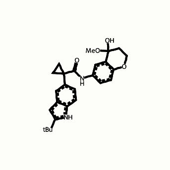 COC1(O)CCOc2ccc(NC(=O)C3(c4ccc5[nH]c(C(C)(C)C)cc5c4)CC3)cc21